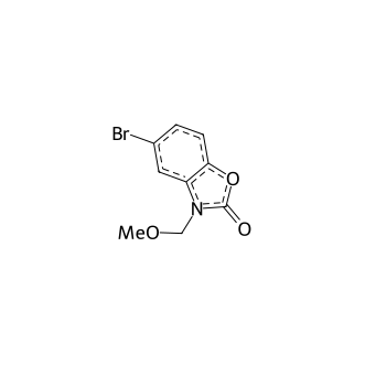 COCn1c(=O)oc2ccc(Br)cc21